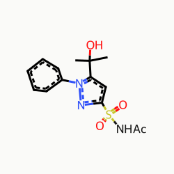 CC(=O)NS(=O)(=O)c1cc(C(C)(C)O)n(-c2ccccc2)n1